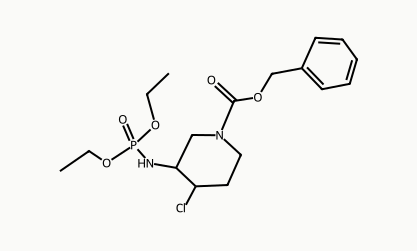 CCOP(=O)(NC1CN(C(=O)OCc2ccccc2)CCC1Cl)OCC